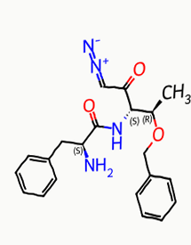 C[C@@H](OCc1ccccc1)[C@H](NC(=O)[C@@H](N)Cc1ccccc1)C(=O)C=[N+]=[N-]